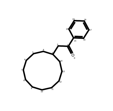 O=C(CC1CCCCCCCCCCC1)c1ccccc1